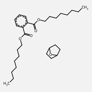 C1CC2CCC1O2.CCCCCCCCOC(=O)c1ccccc1C(=O)OCCCCCCCC